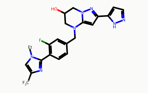 CCn1cc(C(F)(F)F)nc1-c1ccc(CN2CC(O)Cn3nc(-c4ccn[nH]4)cc32)cc1F